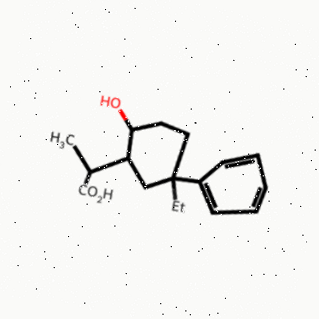 CCC1(c2ccccc2)CCC(O)C(C(C)C(=O)O)C1